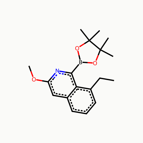 CCc1cccc2cc(OC)nc(B3OC(C)(C)C(C)(C)O3)c12